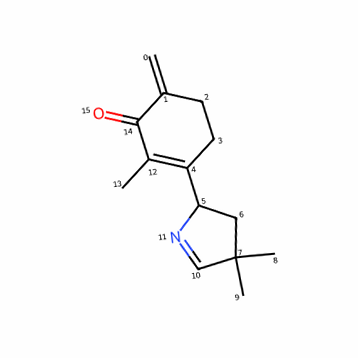 C=C1CCC(C2CC(C)(C)C=N2)=C(C)C1=O